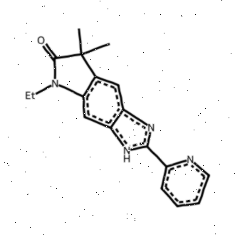 CCN1C(=O)C(C)(C)c2cc3nc(-c4ccccn4)[nH]c3cc21